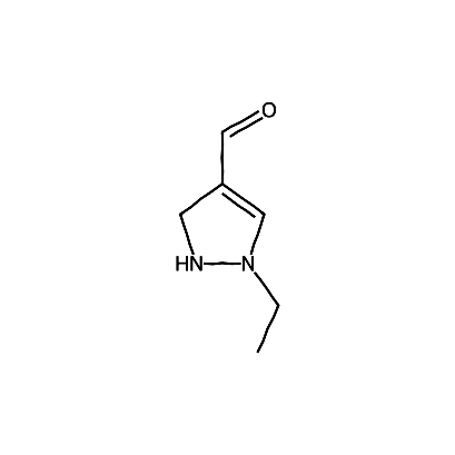 CCN1C=C(C=O)CN1